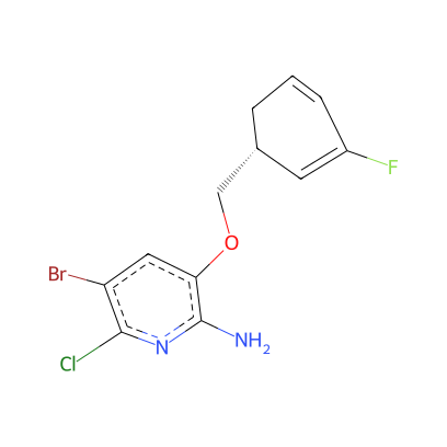 Nc1nc(Cl)c(Br)cc1OC[C@H]1C=C(F)C=CC1